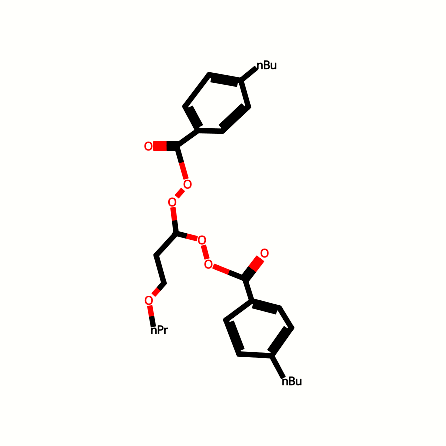 [CH2]CCOCC[C](OOC(=O)c1ccc(CCCC)cc1)OOC(=O)c1ccc(CCCC)cc1